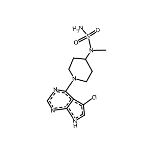 CN(C1CCN(c2ncnc3[nH]cc(Cl)c23)CC1)S(N)(=O)=O